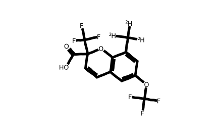 [2H]C([2H])([2H])c1cc(OC(F)(F)F)cc2c1OC(C(=O)O)(C(F)(F)F)C=C2